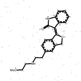 COCCNCCc1ccc2c(c1)CO/C2=C1/C(=O)Nc2ccccc21